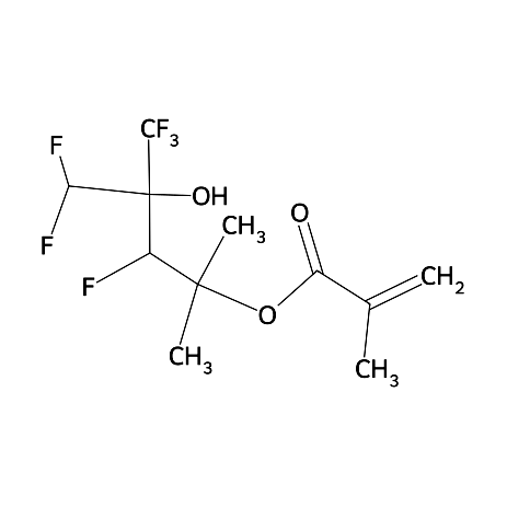 C=C(C)C(=O)OC(C)(C)C(F)C(O)(C(F)F)C(F)(F)F